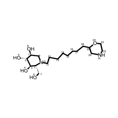 OC[C@@H]1[C@@H](O)[C@H](O)[C@@H](O)CN1CCCCCCCCC1CNCCO1